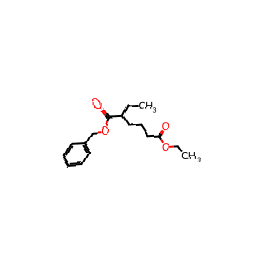 CCOC(=O)CCCC(CC)C(=O)OCc1ccccc1